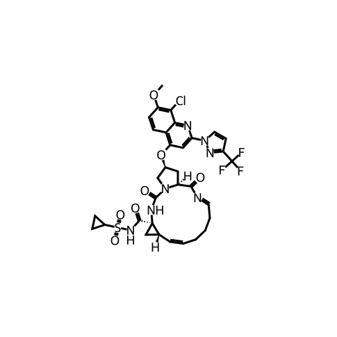 COc1ccc2c(O[C@H]3C[C@H]4C(=O)/N=C/CCC/C=C\[C@@H]5C[C@@]5(C(=O)NS(=O)(=O)C5CC5)NC(=O)N4C3)cc(-n3ccc(C(F)(F)F)n3)nc2c1Cl